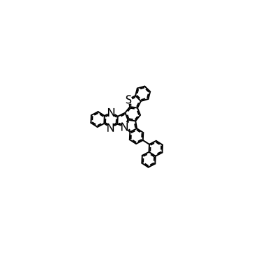 c1ccc2c(-c3ccc4c(c3)c3cc5c6ccccc6sc5c5c6nc7ccccc7nc6n4c35)cccc2c1